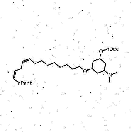 CCCCC/C=C\C/C=C\CCCCCCCCO[C@H]1C[C@@H](OCCCCCCCCCC)C[C@@H](N(C)C)C1